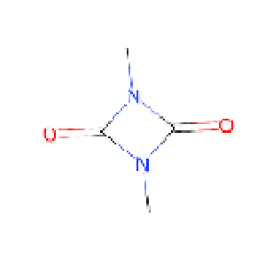 CN1C(=O)N(C)C1=O